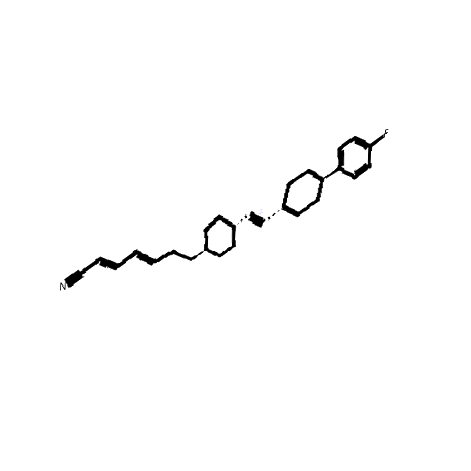 N#CC=CC=CCC[C@H]1CC[C@H](/C=C/[C@H]2CC[C@H](c3ccc(F)cc3)CC2)CC1